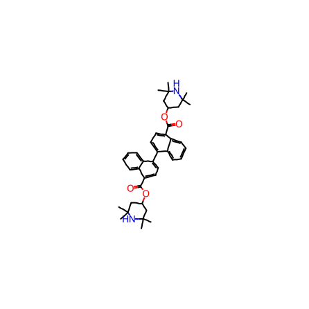 CC1(C)CC(OC(=O)c2ccc(-c3ccc(C(=O)OC4CC(C)(C)NC(C)(C)C4)c4ccccc34)c3ccccc23)CC(C)(C)N1